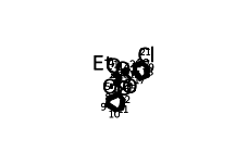 CCOC=C(S(=O)(=O)c1ccccc1)S(=O)(=O)c1cccc(Cl)c1